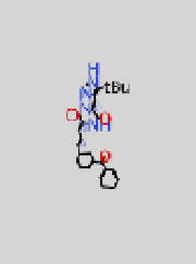 CC(C)(C)c1[nH]cnc1/C=c1\[nH]c(=O)/c(=C/C=C/c2cccc(C(=O)C3=CCCC=C3)c2)[nH]c1=O